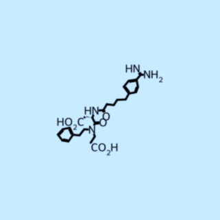 N=C(N)c1ccc(CCCCC(=O)N[C@@H](CC(=O)O)C(=O)N(CCC(=O)O)CCc2ccccc2)cc1